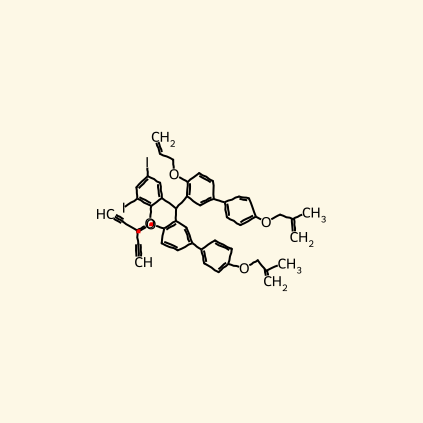 C#CCOc1ccc(-c2ccc(OCC(=C)C)cc2)cc1C(c1cc(-c2ccc(OCC(=C)C)cc2)ccc1OCC=C)c1cc(I)cc(I)c1OCC#C